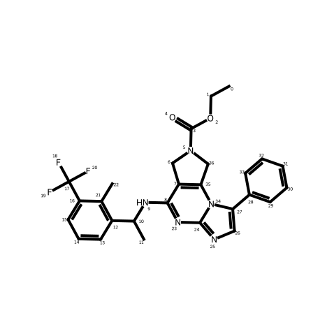 CCOC(=O)N1Cc2c(NC(C)c3cccc(C(F)(F)F)c3C)nc3ncc(-c4ccccc4)n3c2C1